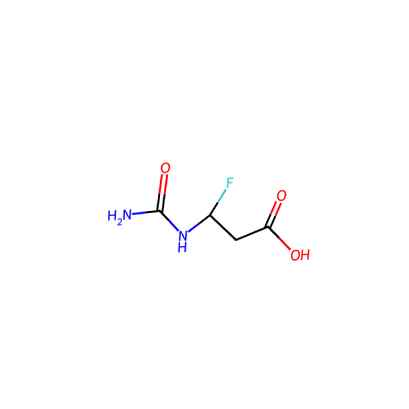 NC(=O)NC(F)CC(=O)O